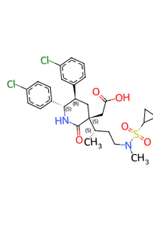 C[C@@H](CCN(C)S(=O)(=O)C1CC1)[C@@]1(CC(=O)O)C[C@H](c2cccc(Cl)c2)[C@@H](c2ccc(Cl)cc2)NC1=O